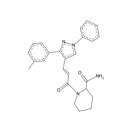 Cc1cccc(-c2nn(-c3ccccc3)cc2C=CC(=O)N2CCCCC2C(N)=O)c1